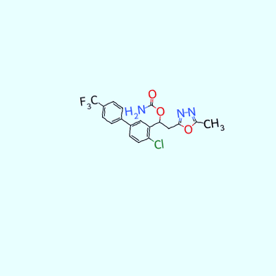 Cc1nnc(CC(OC(N)=O)c2cc(-c3ccc(C(F)(F)F)cc3)ccc2Cl)o1